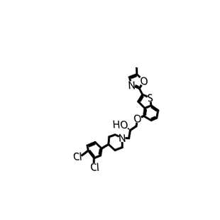 Cc1cnc(-c2cc3c(OC[C@@H](O)CN4CCC(c5ccc(Cl)c(Cl)c5)CC4)cccc3s2)o1